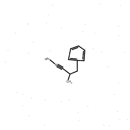 CCC[N+]#CC(C)Cc1ccccc1